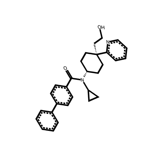 O=C(c1ccc(-c2ccccc2)cc1)N(C1CC1)[C@H]1CC[C@](CCO)(c2ccccn2)CC1